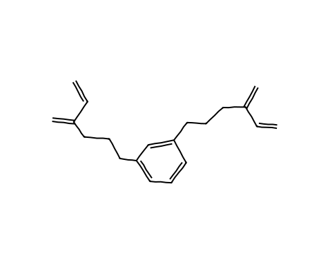 C=CC(=C)CCCc1cccc(CCCC(=C)C=C)c1